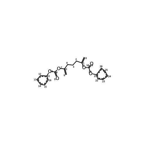 C=C(CCCC(=C)OC(=O)Oc1ccccc1)OC(=O)Oc1ccccc1